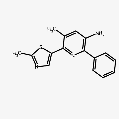 Cc1ncc(-c2nc(-c3ccccc3)c(N)cc2C)s1